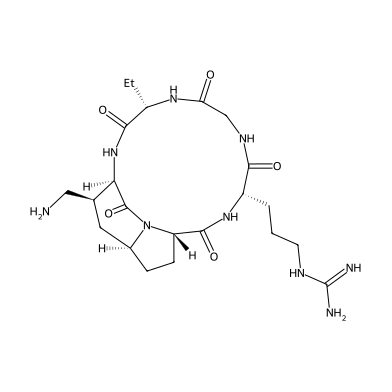 CC[C@@H]1NC(=O)CNC(=O)[C@H](CCCNC(=N)N)NC(=O)[C@@H]2CC[C@H]3C[C@@H](CN)[C@@H](NC1=O)C(=O)N32